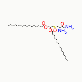 CCCCCCCCCCCCCCCC(=O)OCC(CSCC(N)C(=O)CN)OC(=O)CCCCCCCCCCCCCC